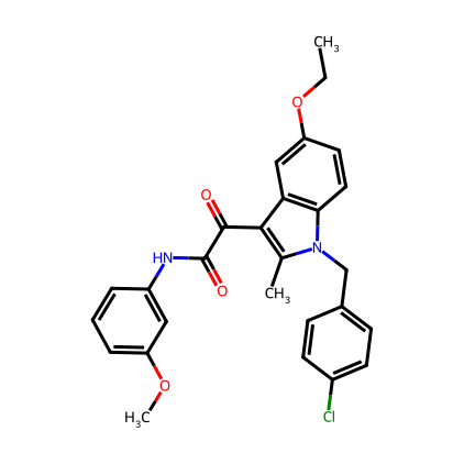 CCOc1ccc2c(c1)c(C(=O)C(=O)Nc1cccc(OC)c1)c(C)n2Cc1ccc(Cl)cc1